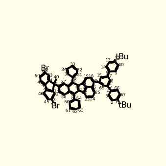 CC(C)(C)c1ccc(-c2cc(-c3ccc(C(C)(C)C)cc3)cc(-c3ccc4c5c(cccc35)-c3c-4c(-c4ccccc4)c4cc(C5(C)c6cc(Br)ccc6-c6ccc(Br)cc65)ccc4c3-c3ccccc3)c2)cc1